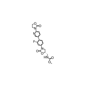 COC(=O)NC[C@H]1CN(c2ccc(-c3ccc(N4CCOC4=O)nc3)c(F)c2)C(=O)O1